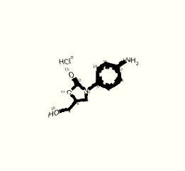 Cl.Nc1ccc(N2CC(CO)OC2=O)cc1